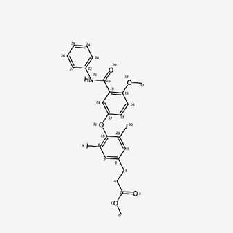 COC(=O)CCc1cc(I)c(Oc2ccc(OC)c(C(=O)Nc3ccccc3)c2)c(I)c1